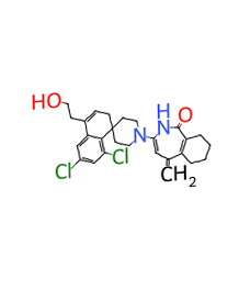 C=C1C=C(N2CCC3(CC=C(CCO)c4cc(Cl)cc(Cl)c43)CC2)NC(=O)C2=C1CCCC2